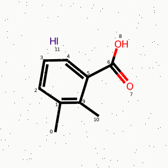 Cc1cccc(C(=O)O)c1C.I